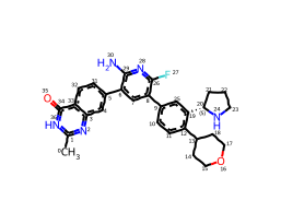 Cc1nc2cc(-c3cc(-c4ccc(C5CCOCC5)c([C@@H]5CCCN5)c4)c(F)nc3N)ccc2c(=O)[nH]1